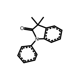 CC1(C)C(=O)N(c2ccccc2)c2ccccc21